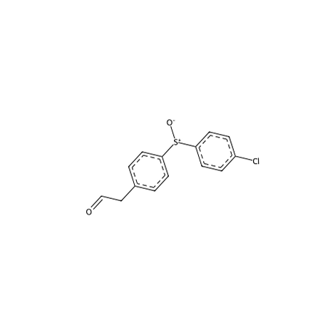 O=CCc1ccc([S+]([O-])c2ccc(Cl)cc2)cc1